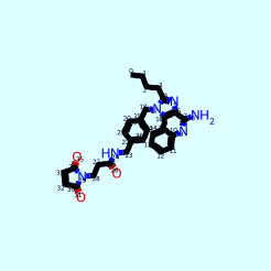 CCCCc1nc2c(N)nc3ccccc3c2n1Cc1ccc(CNC(=O)CCN2C(=O)C=CC2=O)cc1